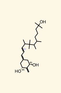 C=C1[C@H](O)CC(=C/C=C/C(C)C(C)(C)C(C)C(C)CCCC(C)(C)O)C[C@H]1O